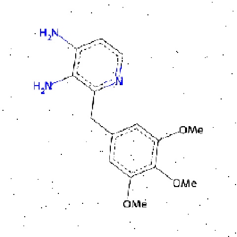 COc1cc(Cc2nccc(N)c2N)cc(OC)c1OC